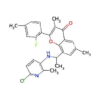 Cc1ccc(-c2oc3c(C(C)Nc4ccc(Cl)nc4C)cc(C)cc3c(=O)c2C)c(F)c1